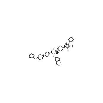 O=C(N[C@H](Cc1ccc2c(c1)CCCC2)C(=O)N1CCC(N2CCN(Cc3ccccc3)CC2)CC1)N1CCC(n2nc(-c3ccccc3)[nH]c2=O)CC1